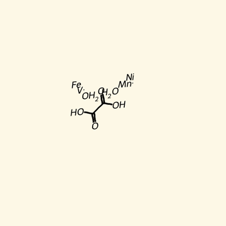 O.O.O=C(O)C(=O)O.[Fe].[Mn].[Ni].[V]